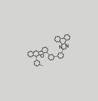 Cc1cccc(-c2c3ccccc3cc3c2oc2c(-c4cccc(-c5cccc(-c6cnc7c8ccccc8c8ccccc8c7n6)c5)c4)cccc23)c1